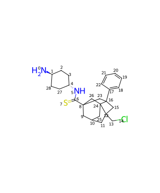 N[C@H]1CC[C@H](NC(=S)C23CC4CC5(CCl)CC(c6ccccc6)(C2)C5(C4)C3)CC1